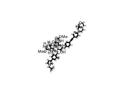 COC(=O)N[C@H](C(=O)N[C@@H](Cc1ccc(C#Cc2ccc(N3CCN4CCOC[C@H]4C3)nc2)cc1)[C@@H](O)CN(Cc1c(F)cc(-c2ccn(CC(F)F)n2)cc1F)NC(=O)[C@@H](NC(=O)OC)C(C)(C)C(F)(F)F)C(C)(C)C(F)(F)F